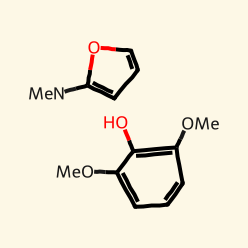 CNc1ccco1.COc1cccc(OC)c1O